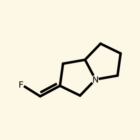 F/C=C1\CC2CCCN2C1